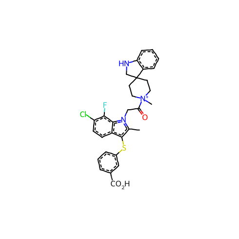 Cc1c(Sc2cccc(C(=O)O)c2)c2ccc(Cl)c(F)c2n1CC(=O)[N+]1(C)CCC2(CC1)CNc1ccccc12